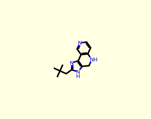 CC(C)(C)Cc1nc2c([nH]1)CNc1ccncc1-2